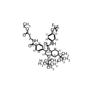 CCOC(=O)CCNC(=O)c1ccc(C(CO[Si](C)(C)C(C)(C)C)N(C(=O)Nc2ccc(OC(F)(F)F)cc2)C2CCC(C(C)(C)C)CC2)cc1